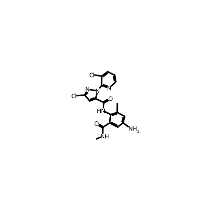 CNC(=O)c1cc(N)cc(C)c1NC(=O)c1cc(Cl)nn1-c1ncccc1Cl